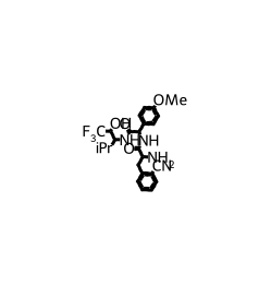 COc1ccc(C(NC(=O)C(N)Cc2ccccc2C#N)C(=O)NC(C(C)C)C(O)C(F)(F)F)cc1